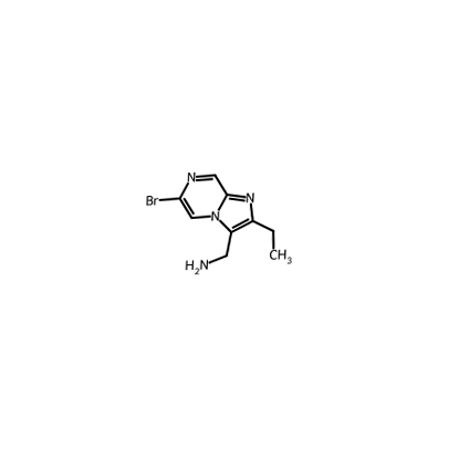 CCc1nc2cnc(Br)cn2c1CN